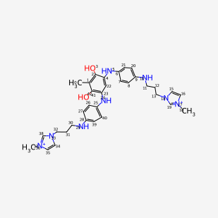 Cc1c(O)c(Nc2ccc(NCCCn3cc[n+](C)c3)cc2)cc(Nc2ccc(NCCCn3cc[n+](C)c3)cc2)c1O